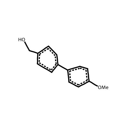 COc1ccc(-c2ccc(CO)cc2)cc1